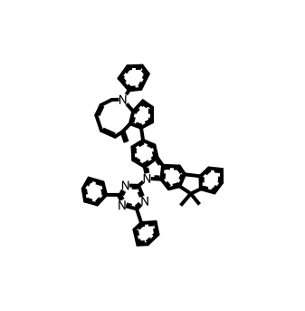 C=C1/C=C\C=C/CN(c2ccccc2)c2cccc(-c3ccc4c(c3)c3cc5c(cc3n4-c3nc(-c4ccccc4)nc(-c4ccccc4)n3)C(C)(C)c3ccccc3-5)c21